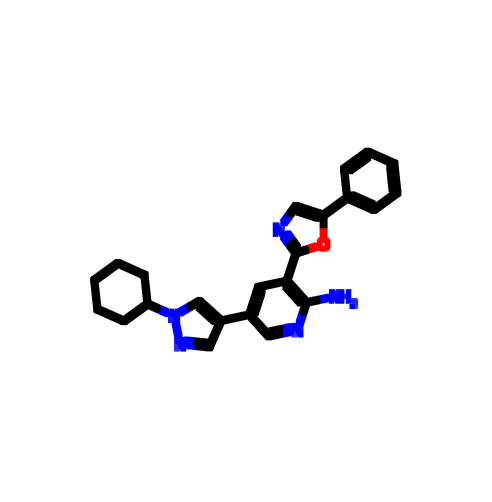 Nc1ncc(-c2cnn(C3CCCCC3)c2)cc1-c1ncc(-c2ccccc2)o1